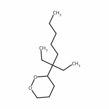 CCCCCC(CC)(CC)C1CCCOO1